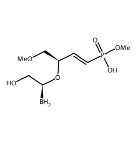 B[C@@H](CO)O[C@H](/C=C/P(=O)(O)OC)COC